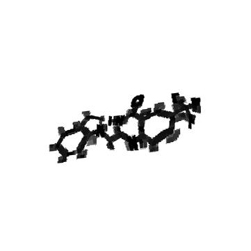 O=c1[nH]c(CN2CCc3ccccc32)nc2ccc(C(F)(F)F)cc12